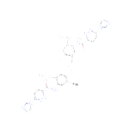 C#Cc1cc(NC(=O)c2ccc(-n3ccnc3)nn2)c(C(=O)O)cc1OCCc1cc(NC(=O)c2ccc(-n3ccnc3)nn2)c(C(=O)O)cc1F